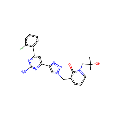 CC(C)(O)Cn1cccc(Cn2cc(-c3cc(-c4ccccc4F)nc(N)n3)nn2)c1=O